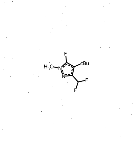 Cn1nc(C(F)F)c(C(C)(C)C)c1F